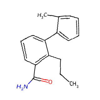 CCCc1c(C(N)=O)cccc1-c1ccccc1C